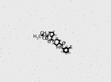 CC(C)(C)OC(=O)N1CCC[C@H]1C(=O)N1CCC(C(=O)Nc2cccc(F)c2)CC1